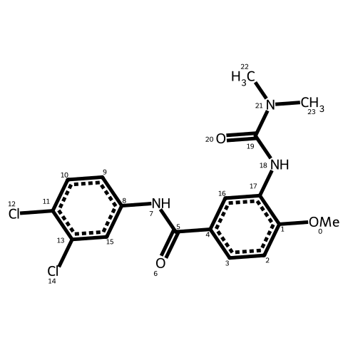 COc1ccc(C(=O)Nc2ccc(Cl)c(Cl)c2)cc1NC(=O)N(C)C